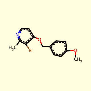 COc1ccc(COc2ccnc(C)c2Br)cc1